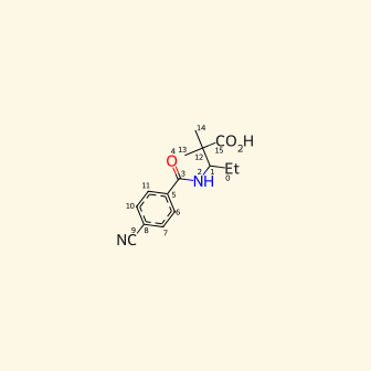 CCC(NC(=O)c1ccc(C#N)cc1)C(C)(C)C(=O)O